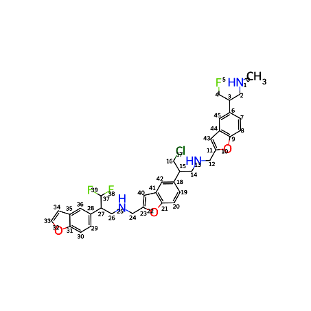 CNCC(CF)c1ccc2oc(CNCC(CCl)c3ccc4oc(CNCC(c5ccc6occc6c5)C(F)F)cc4c3)cc2c1